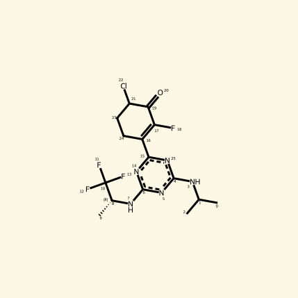 CC(C)Nc1nc(N[C@H](C)C(F)(F)F)nc(C2=C(F)C(=O)C(Cl)CC2)n1